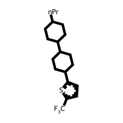 CCCC1CCC(C2CCC(c3ccc(C(F)(F)F)s3)CC2)CC1